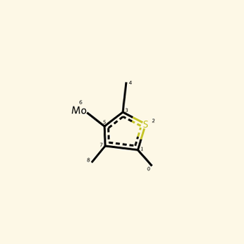 Cc1sc(C)[c]([Mo])c1C